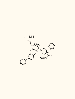 CNC(=O)C1(Cc2ccccc2)CCN(C(=O)[C@@H](Cc2ccc(-c3ccccc3)cc2)N(C)C(=O)C=CCC2(N)CCC2)CC1